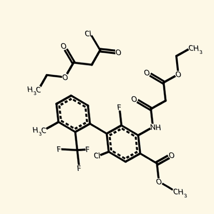 CCOC(=O)CC(=O)Cl.CCOC(=O)CC(=O)Nc1c(C(=O)OC)cc(Cl)c(-c2cccc(C)c2C(F)(F)F)c1F